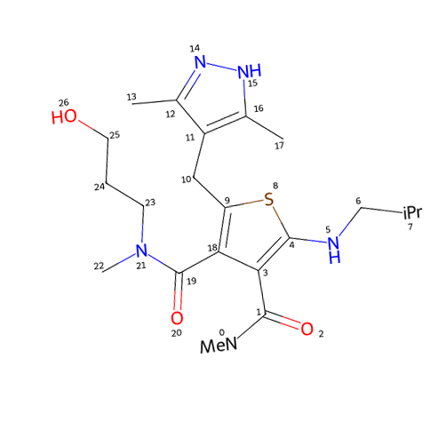 CNC(=O)c1c(NCC(C)C)sc(Cc2c(C)n[nH]c2C)c1C(=O)N(C)CCCO